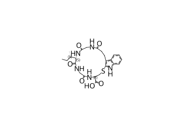 CC[C@H](C)[C@@H]1NC(=O)CNC(=O)CCc2c([nH]c3ccccc23)SC[C@@H](C(=O)O)NC(=O)CNC1=O